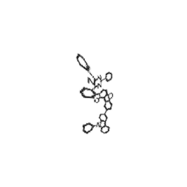 c1ccc(-c2nc(-c3ccccc3)nc(-c3cccc4oc5c(ccc6oc7ccc(-c8ccc9c(c8)c8ccccc8n9-c8ccccc8)cc7c65)c34)n2)cc1